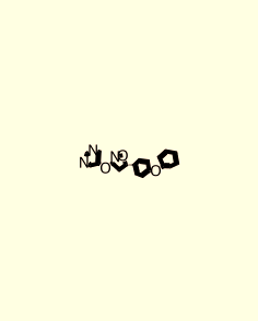 c1ccc(Oc2ccc([C@@H]3CC(Oc4cncnc4)=NO3)cc2)cc1